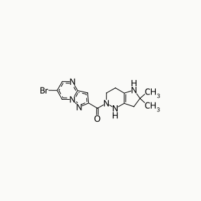 CC1(C)CC2=C(CCN(C(=O)c3cc4ncc(Br)cn4n3)N2)N1